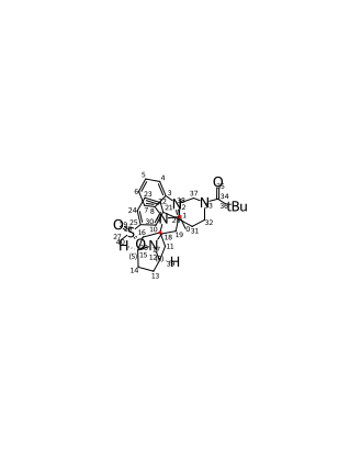 Cc1nc2ccccc2n1C1C[C@H]2CC[C@@H](C1)N2CCC1(c2cccc(S(C)(=O)=O)c2)CCN(C(=O)C(C)(C)C)CC1